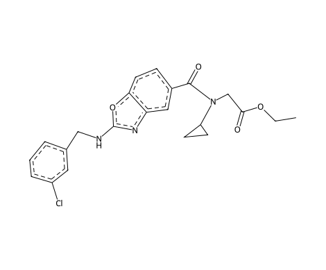 CCOC(=O)CN(C(=O)c1ccc2oc(NCc3cccc(Cl)c3)nc2c1)C1CC1